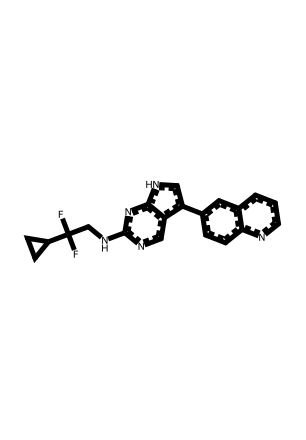 FC(F)(CNc1ncc2c(-c3ccc4ncccc4c3)c[nH]c2n1)C1CC1